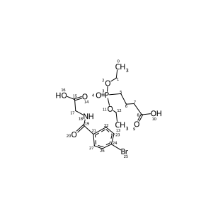 CCOP(=O)(CCCC(=O)O)OCC.O=C(O)CNC(=O)c1ccc(Br)cc1